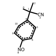 CC(C)(C#N)c1ccc(N=O)cc1